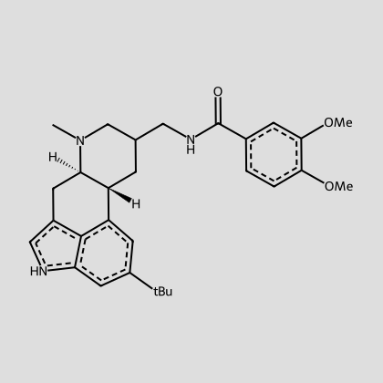 COc1ccc(C(=O)NCC2C[C@@H]3c4cc(C(C)(C)C)cc5[nH]cc(c45)C[C@H]3N(C)C2)cc1OC